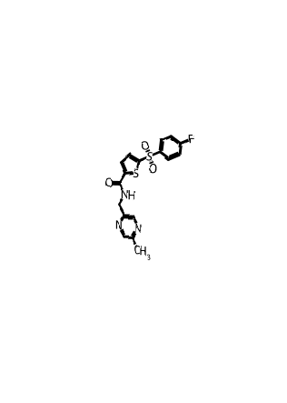 Cc1cnc(CNC(=O)c2ccc(S(=O)(=O)c3ccc(F)cc3)s2)cn1